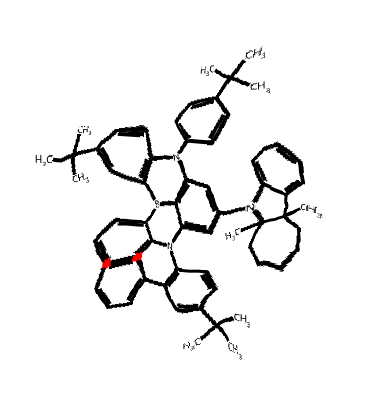 CC(C)(C)c1ccc(N2c3ccc(C(C)(C)C)cc3B3c4ccccc4N(c4ccc(C(C)(C)C)cc4-c4ccccc4)c4cc(N5c6ccccc6C6(C)CCCCCC56C)cc2c43)cc1